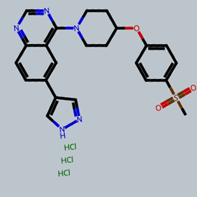 CS(=O)(=O)c1ccc(OC2CCN(c3ncnc4ccc(-c5cn[nH]c5)cc34)CC2)cc1.Cl.Cl.Cl